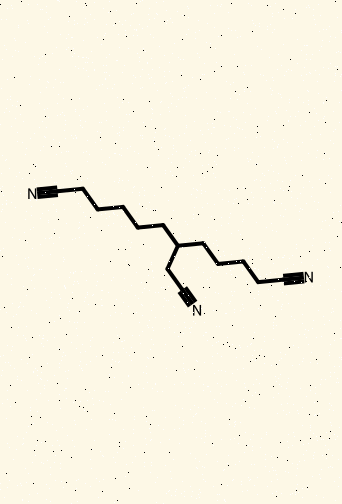 N#CCCCCCC(CC#N)CCCCC#N